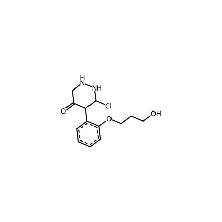 O=C1CNNC(Cl)C1c1ccccc1OCCCO